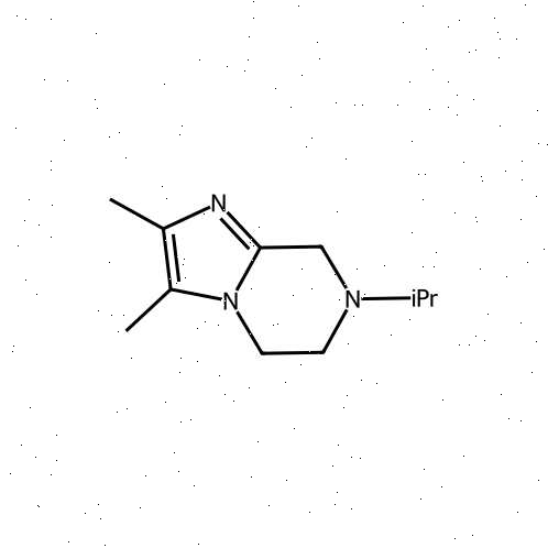 Cc1nc2n(c1C)CCN(C(C)C)C2